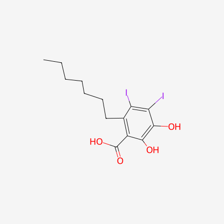 CCCCCCCc1c(I)c(I)c(O)c(O)c1C(=O)O